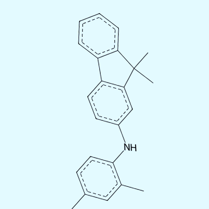 Cc1ccc(Nc2ccc3c(c2)C(C)(C)c2ccccc2-3)c(C)c1